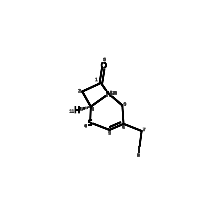 O=C1C[C@@H]2SC=C(CI)CN12